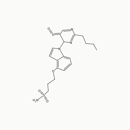 CCCCC1=NC(n2ccc3c(OCCCS(N)(=O)=O)cccc32)C(=S=O)C=N1